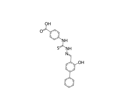 O=C(O)c1ccc(NC(=S)NN=Cc2ccc(-c3ccccc3)cc2O)cc1